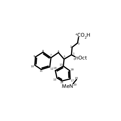 CCCCCCCCC(CCC(=O)O)C(Cc1ccccc1)c1ccccc1.CNC